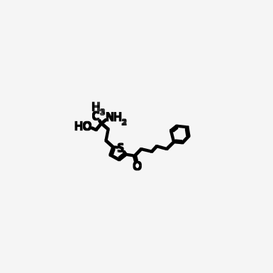 CC(N)(CO)CCc1ccc(C(=O)CCCCc2ccccc2)s1